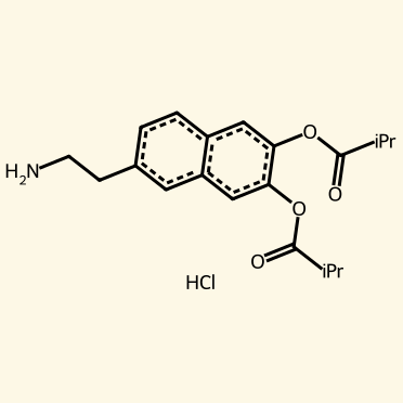 CC(C)C(=O)Oc1cc2ccc(CCN)cc2cc1OC(=O)C(C)C.Cl